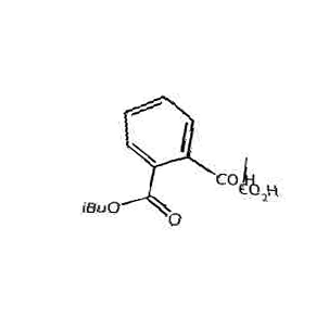 CC(=O)O.CC(C)COC(=O)c1ccccc1C(=O)O